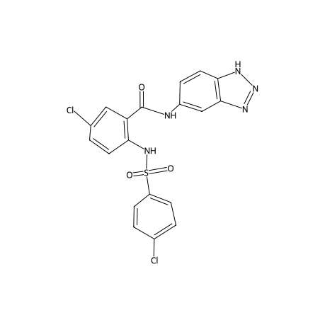 O=C(Nc1ccc2[nH]nnc2c1)c1cc(Cl)ccc1NS(=O)(=O)c1ccc(Cl)cc1